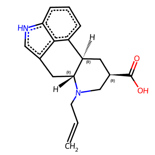 C=CCN1C[C@H](C(=O)O)C[C@@H]2c3cccc4[nH]cc(c34)C[C@H]21